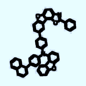 c1ccc(-c2nc3ccc4oc5ccc(-c6ccc(N(c7ccc(-c8cccc9ccccc89)cc7)c7cccc8oc9ccccc9c78)cc6)cc5c4c3o2)cc1